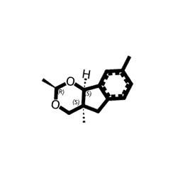 Cc1ccc2c(c1)[C@@H]1O[C@H](C)OC[C@]1(C)C2